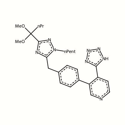 CCCCCn1nc(C(CCC)(OC)OC)nc1Cc1ccc(-c2cnccc2-c2nnn[nH]2)cc1